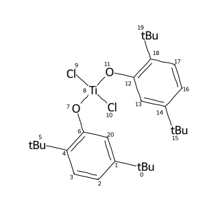 CC(C)(C)c1ccc(C(C)(C)C)c([O][Ti]([Cl])([Cl])[O]c2cc(C(C)(C)C)ccc2C(C)(C)C)c1